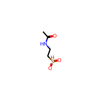 CC(=O)NCC[SH](=O)=O